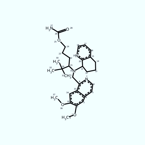 COc1cc2ccnc(CN(C3CCCc4cccnc43)C(CCCOC(N)=O)C(C)(C)C)c2cc1OC